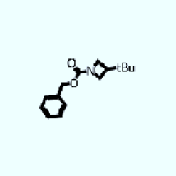 CC(C)(C)C1CN(C(=O)OCc2ccccc2)C1